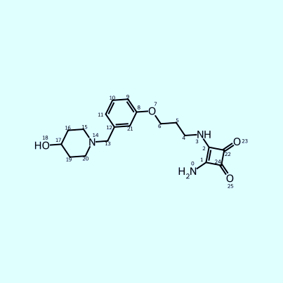 Nc1c(NCCCOc2cccc(CN3CCC(O)CC3)c2)c(=O)c1=O